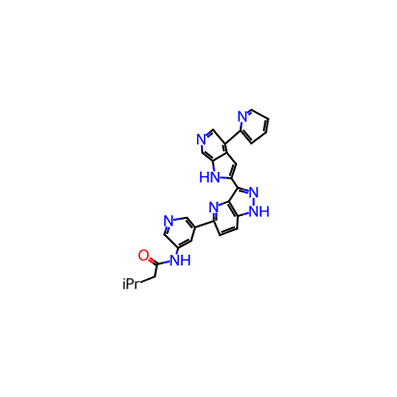 CC(C)CC(=O)Nc1cncc(-c2ccc3[nH]nc(-c4cc5c(-c6ccccn6)cncc5[nH]4)c3n2)c1